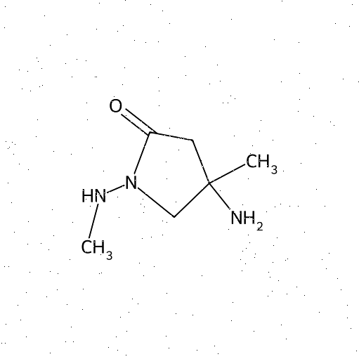 CNN1CC(C)(N)CC1=O